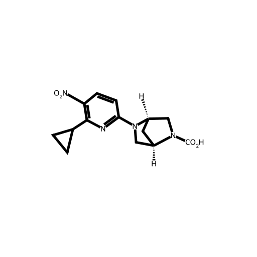 O=C(O)N1C[C@H]2C[C@@H]1CN2c1ccc([N+](=O)[O-])c(C2CC2)n1